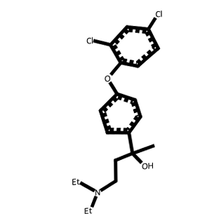 CCN(CC)CCC(C)(O)c1ccc(Oc2ccc(Cl)cc2Cl)cc1